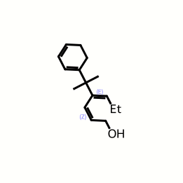 CC/C=C(\C=C/CO)C(C)(C)C1=CC=CCC1